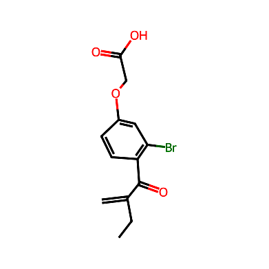 C=C(CC)C(=O)c1ccc(OCC(=O)O)cc1Br